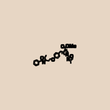 COC(=O)[C@H]1CN(c2nc(C)co2)C[C@H]1Cc1ccc(OCCc2nc(-c3ccccc3)oc2C)cc1